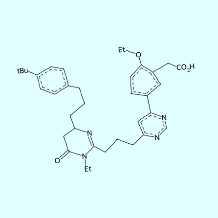 CCOc1ccc(-c2cc(CCCC3=NC(CCCc4ccc(C(C)(C)C)cc4)CC(=O)N3CC)ncn2)cc1CC(=O)O